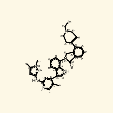 Cc1cnc(Nc2cc(C)n(C)n2)nc1-c1c[nH]c2c(N3Cc4c(cccc4C4=CCN(CI)CC4)C3=O)cccc12